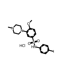 COc1ccc(S(=O)(=O)Nc2ccc(I)cc2)cc1N1CCN(C)CC1.Cl